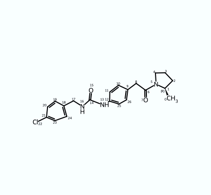 C[C@@H]1CCCN1C(=O)Cc1ccc(NC(=O)NCc2ccc(Cl)cc2)cc1